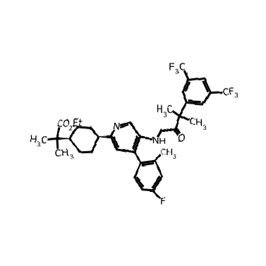 CCOC(=O)C(C)(C)[C@H]1CC[C@@H](c2cc(-c3ccc(F)cc3C)c(NCC(=O)C(C)(C)c3cc(C(F)(F)F)cc(C(F)(F)F)c3)cn2)CC1